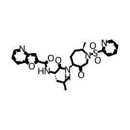 CC(C)C[C@H](NC(=O)c1cc2ncccc2o1)C(=O)N[C@H]1CC[C@@H](C)N(S(=O)(=O)c2ccccn2)CC1=O